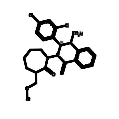 CCOCC1CCCCN(N2C(=O)c3ccccc3C(C(=O)O)[C@@H]2c2ccc(Cl)cc2Cl)C1=O